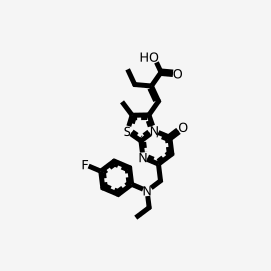 CCC(=Cc1c(C)sc2nc(CN(CC)c3ccc(F)cc3)cc(=O)n12)C(=O)O